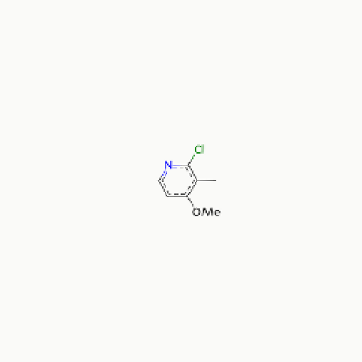 COc1ccnc(Cl)c1C